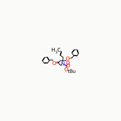 CC=CCC1(C(=O)OCc2ccccc2)C[C@H](OCc2ccccc2)CN1C(=O)OC(C)(C)C